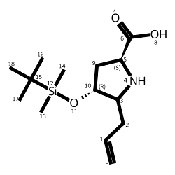 C=CCC1N[C@H](C(=O)O)C[C@H]1O[Si](C)(C)C(C)(C)C